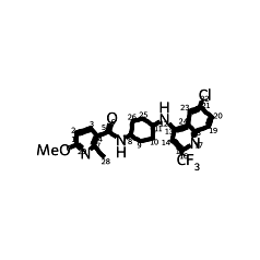 COc1ccc(C(=O)NC2CCC(Nc3cc(C(F)(F)F)nc4ccc(Cl)cc34)CC2)c(C)n1